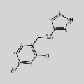 Clc1ccc(CNc2cc[nH]c2)c(Cl)c1